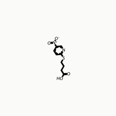 O=C(O)CCCSc1ccc([N+](=O)[O-])cn1